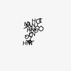 CCn1nccc1C(=O)NC(C(=O)Nc1cc(OC)c(-c2c(C)n[nH]c2C)cn1)C(C1CCCCC1)C1CCCCC1